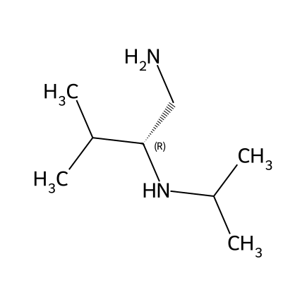 CC(C)N[C@@H](CN)C(C)C